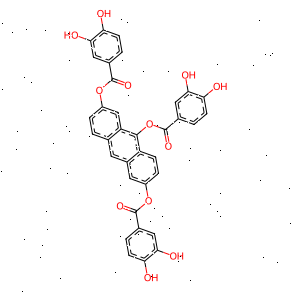 O=C(Oc1ccc2c(OC(=O)c3ccc(O)c(O)c3)c3cc(OC(=O)c4ccc(O)c(O)c4)ccc3cc2c1)c1ccc(O)c(O)c1